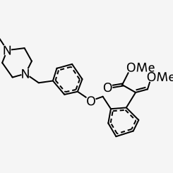 CO/C=C(\C(=O)OC)c1ccccc1COc1cccc(CN2CCN(C)CC2)c1